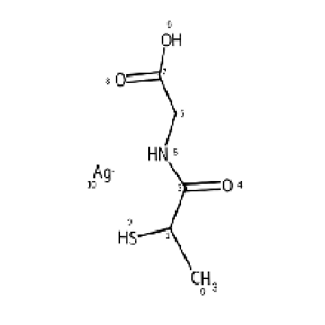 CC(S)C(=O)NCC(=O)O.[Ag]